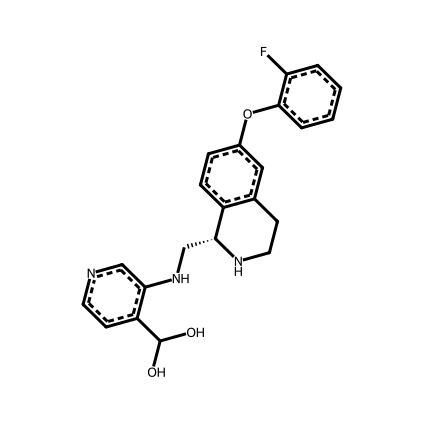 OC(O)c1ccncc1NC[C@H]1NCCc2cc(Oc3ccccc3F)ccc21